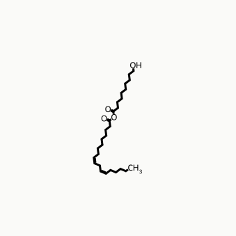 CCCCC/C=C\C/C=C\CCCCCCCC(=O)OC(=O)CCCCCCCCCO